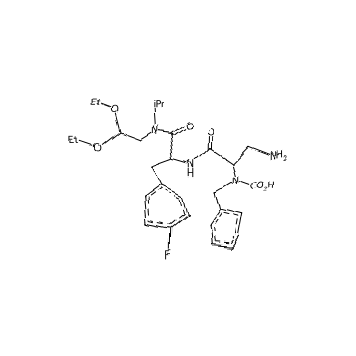 CCOC(CN(C(=O)C(Cc1ccc(F)cc1)NC(=O)C(CN)N(Cc1ccccc1)C(=O)O)C(C)C)OCC